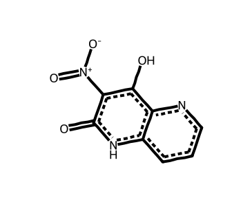 O=c1[nH]c2cccnc2c(O)c1[N+](=O)[O-]